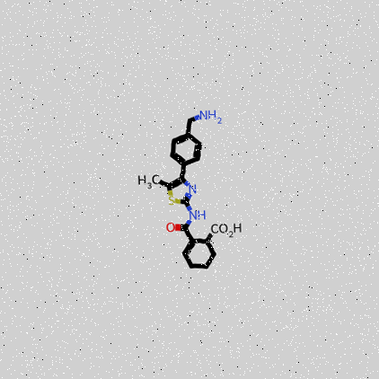 Cc1sc(NC(=O)C2=CCCCC2C(=O)O)nc1-c1ccc(CN)cc1